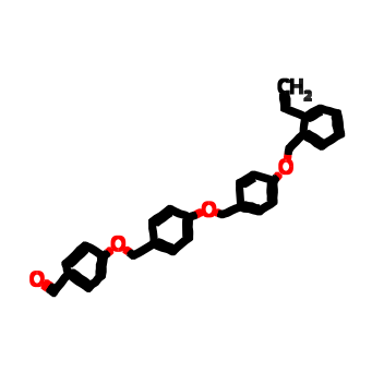 C=Cc1ccccc1COc1ccc(COc2ccc(COc3ccc(C=O)cc3)cc2)cc1